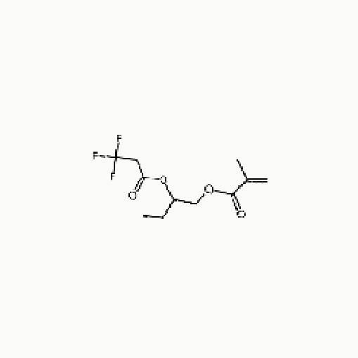 C=C(C)C(=O)OCC(CC)OC(=O)CC(F)(F)F